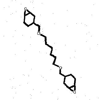 C(CCCOCC1CCC2OC2C1)CCOCC1CCC2OC2C1